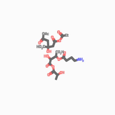 CC(O)C(=O)OC(=O)C(O)C(OC(=O)CCCN)C(=O)O.CCC(=O)OC(=O)CC(O)(CC(=O)OC(C)=O)C(=O)O